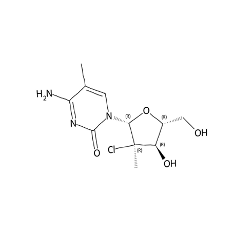 Cc1cn([C@@H]2O[C@H](CO)[C@@H](O)[C@@]2(C)Cl)c(=O)nc1N